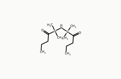 CCCC(=O)[Si](C)(C)N[Si](C)(C)C(=O)CCC